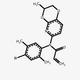 C=CC(=O)N(c1ccc2c(n1)OC(C)CO2)c1cc(C)c(Br)cc1C